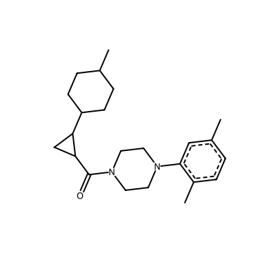 Cc1ccc(C)c(N2CCN(C(=O)C3CC3C3CCC(C)CC3)CC2)c1